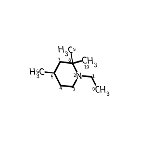 CCN1CCC(C)CC1(C)C